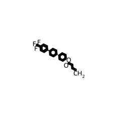 C=CCCC(=O)OC1CCC([C@H]2CC[C@H](c3ccc(C(F)(F)F)cc3)CC2)CC1